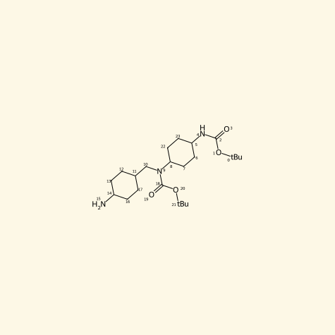 CC(C)(C)OC(=O)NC1CCC(N(CC2CCC(N)CC2)C(=O)OC(C)(C)C)CC1